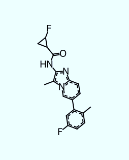 Cc1ccc(F)cc1-c1ccc2nc(NC(=O)C3CC3F)c(C)n2c1